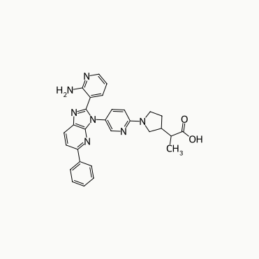 CC(C(=O)O)C1CCN(c2ccc(-n3c(-c4cccnc4N)nc4ccc(-c5ccccc5)nc43)cn2)C1